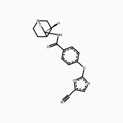 N#Cc1cnc(Oc2ccc(C(=O)N[C@H]3CN4CCC3CC4)cc2)o1